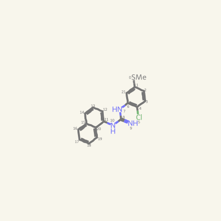 CSc1ccc(Cl)c(NC(=N)Nc2cccc3ccccc23)c1